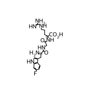 N=C(N)NCCC[C@H](NC(=O)CNC(=O)[C@@H](N)Cc1c[nH]c2cc(F)ccc12)C(=O)O